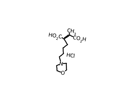 C/C(C(=O)O)=C(/CCCCN1CCOCC1)C(=O)O.Cl